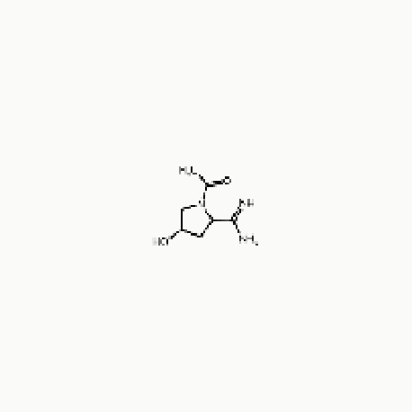 CC(=O)N1C[C@H](O)CC1C(=N)N